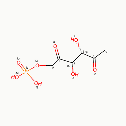 CC(=O)[C@@H](O)[C@H](O)C(=O)COP(=O)(O)O